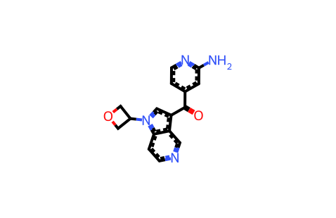 Nc1cc(C(=O)c2cn(C3COC3)c3ccncc23)ccn1